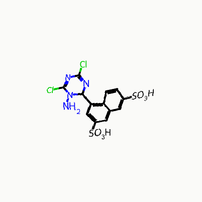 NN1C(Cl)=NC(Cl)=NC1c1cc(S(=O)(=O)O)cc2cc(S(=O)(=O)O)ccc12